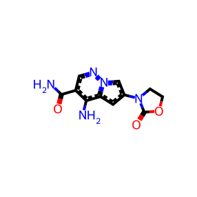 NC(=O)c1cnn2cc(N3CCOC3=O)cc2c1N